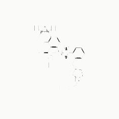 CCN1CCC(Cc2ccccc2S(=O)(=O)Nc2ccc3c(c2C(=O)O)OC[C@@H]2C[C@H]32)C1